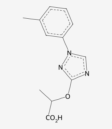 Cc1cccc(-n2cnc(OC(C)C(=O)O)n2)c1